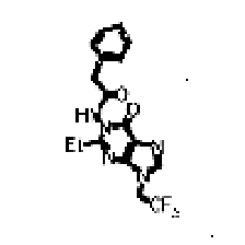 CCc1nc2c(ncn2CC(F)(F)F)c(=O)n1NC(=O)Cc1ccccc1